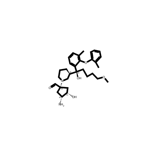 COCCCC[C@@](O)(c1cccc(C)c1Oc1ccccc1C)[C@@H]1CCCN([C@@]2(C=O)C[C@@H](N)[C@@H](O)C2)C1